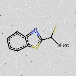 CCCCCC([S])c1nc2ccccc2s1